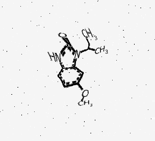 COc1ccc2[nH]c(=O)n(C(C)C)c2c1